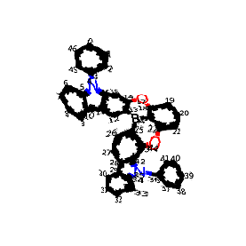 c1ccc(-n2c3ccccc3c3cc4c(cc32)Oc2cccc3c2B4c2ccc4c5ccccc5n(-c5ccccc5)c4c2O3)cc1